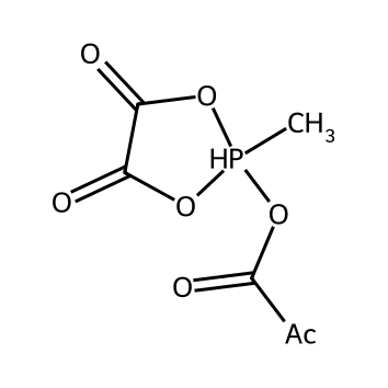 CC(=O)C(=O)O[PH]1(C)OC(=O)C(=O)O1